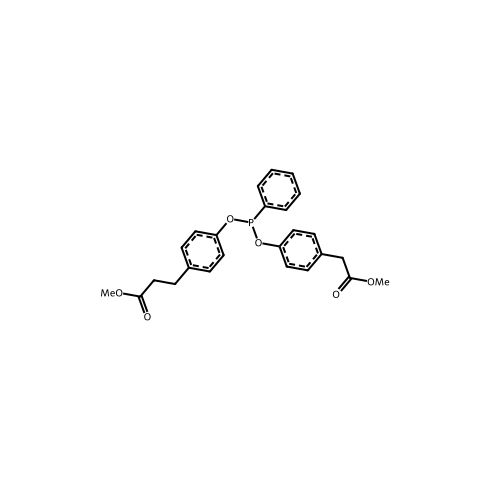 COC(=O)CCc1ccc(OP(Oc2ccc(CC(=O)OC)cc2)c2ccccc2)cc1